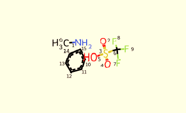 CN.O=S(=O)(O)C(F)(F)F.c1ccccc1